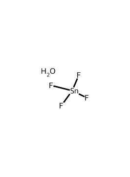 O.[F][Sn]([F])([F])[F]